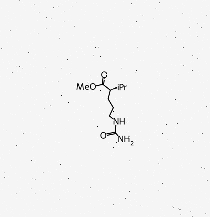 COC(=O)[C@H](CCCNC(N)=O)C(C)C